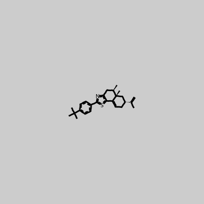 C=C(C)[C@@H]1CC=C2c3sc(-c4ccc(C(C)(C)C)cc4)nc3C[C@@H](C)[C@]2(C)C1